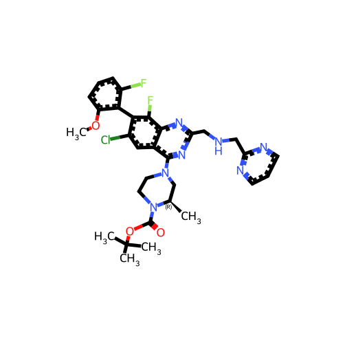 COc1cccc(F)c1-c1c(Cl)cc2c(N3CCN(C(=O)OC(C)(C)C)[C@H](C)C3)nc(CNCc3ncccn3)nc2c1F